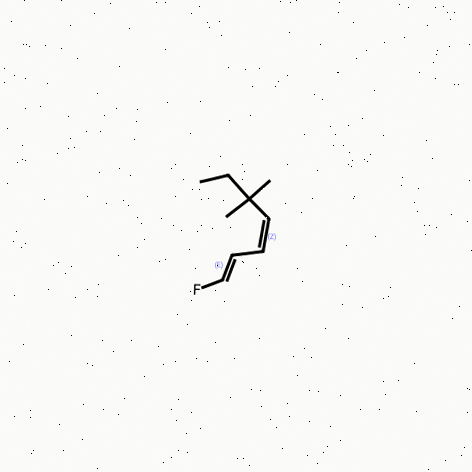 CCC(C)(C)/C=C\C=C\F